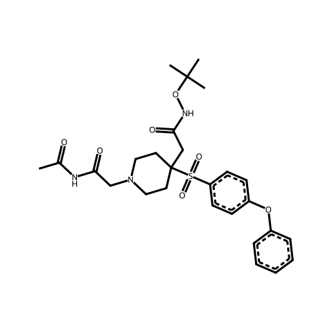 CC(=O)NC(=O)CN1CCC(CC(=O)NOC(C)(C)C)(S(=O)(=O)c2ccc(Oc3ccccc3)cc2)CC1